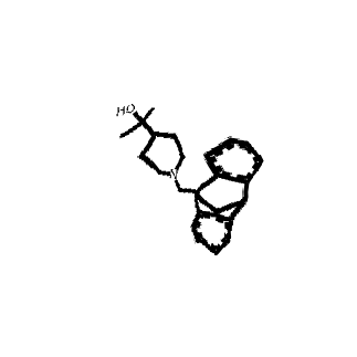 CC(C)(O)C1CCN(CC23CC(c4ccccc42)c2ccccc23)CC1